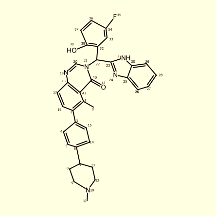 Cc1c(-c2ccc(C3CCN(C)CC3)cc2)ccc2ncn(C(c3nc4ccccc4[nH]3)c3cc(F)ccc3O)c(=O)c12